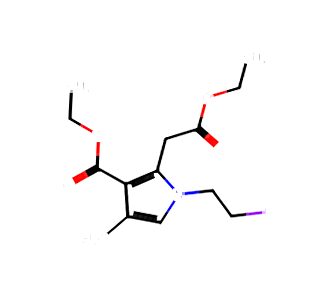 CCOC(=O)Cc1c(C(=O)OCC)c(C)cn1CCI